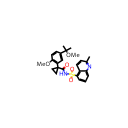 COc1ccc(C(C)(C)OC)cc1C1(C(=O)NS(=O)(=O)c2cccc3nc(C)ccc23)CC1